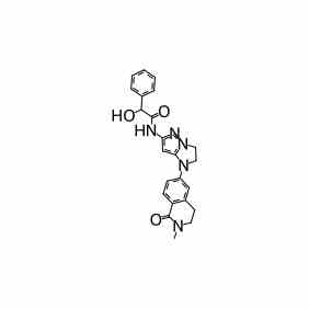 CN1CCc2cc(N3CCn4nc(NC(=O)C(O)c5ccccc5)cc43)ccc2C1=O